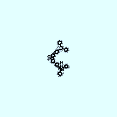 CN1C(c2ccccc2)=CC(c2ccccc2)=CC1c1ccc(-c2ccc3c(c2)-c2cc(-c4ccc(C5=NC(c6ccccc6)=NC(c6ccccc6)N5)cc4)ccc2C3(F)F)cc1